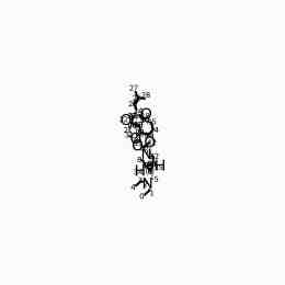 CCN(CC)C[C@@H]1[C@H]2CN(C(=O)O[C@@H]3CC[C@]4(CO4)[C@@H]([C@@]4(C)O[C@@H]4CC=C(C)C)[C@@H]3OC)C[C@@H]12